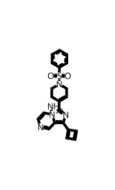 N[N+]12C=CN=CC1=C(C1=CC=C1)N=C2C1=CCN(S(=O)(=O)c2ccccc2)CC1